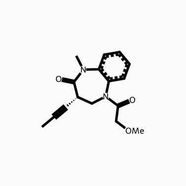 CC#C[C@H]1CN(C(=O)COC)c2ccccc2N(C)C1=O